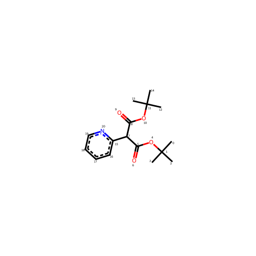 CC(C)(C)OC(=O)C(C(=O)OC(C)(C)C)c1ccccn1